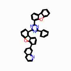 c1ccc(-c2nc(-c3cccc4c3oc3ccccc34)nc(-c3cccc4oc5c(-c6ccc7cccnc7c6)cccc5c34)n2)cc1